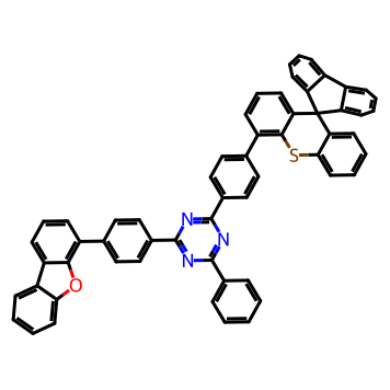 c1ccc(-c2nc(-c3ccc(-c4cccc5c4Sc4ccccc4C54c5ccccc5-c5ccccc54)cc3)nc(-c3ccc(-c4cccc5c4oc4ccccc45)cc3)n2)cc1